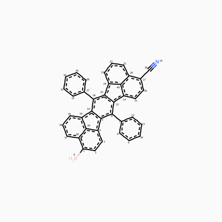 Bc1ccc2c3c(-c4ccccc4)c4c5ccc(C#N)c6cccc(c4c(-c4ccccc4)c3c3cccc1c32)c65